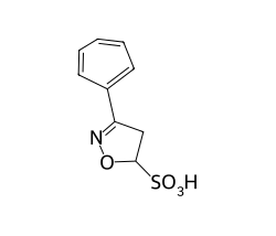 O=S(=O)(O)C1CC(c2ccccc2)=NO1